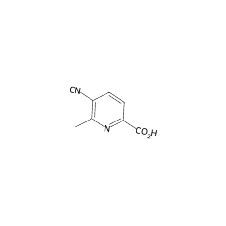 [C-]#[N+]c1ccc(C(=O)O)nc1C